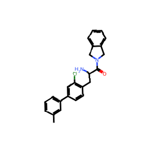 Cc1cccc(-c2ccc(CC(N)C(=O)N3Cc4ccccc4C3)c(Cl)c2)c1